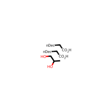 CC(O)CO.CCCCCCCCCCCC(=O)O.CCCCCCCCCCCC(=O)O